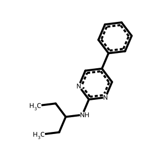 CCC(CC)Nc1ncc(-c2ccccc2)cn1